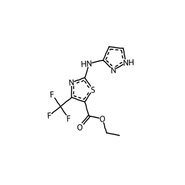 CCOC(=O)c1sc(Nc2cc[nH]n2)nc1C(F)(F)F